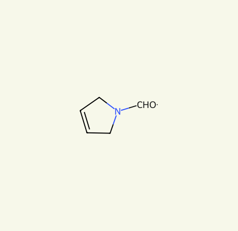 O=[C]N1CC=CC1